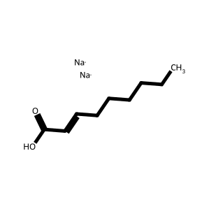 CCCCCCC=CC(=O)O.[Na].[Na]